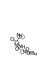 CC(C)(C)OC(=O)N1CCC[C@@H](C(=O)Nc2cc(-c3cnn4c3CCCC4)c(Cl)cn2)C1